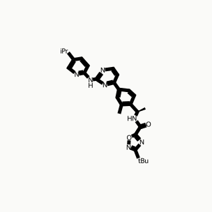 Cc1cc(-c2ccnc(Nc3ccc(C(C)C)cn3)n2)ccc1[C@@H](C)NC(=O)c1nc(C(C)(C)C)no1